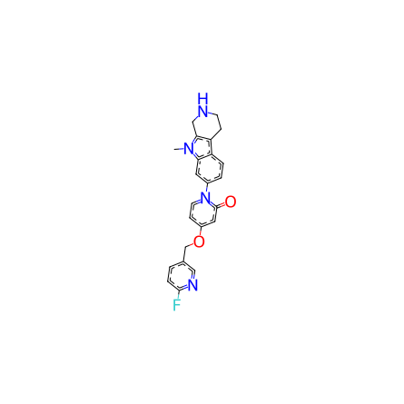 Cn1c2c(c3ccc(-n4ccc(OCc5ccc(F)nc5)cc4=O)cc31)CCNC2